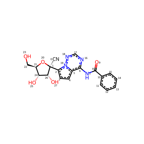 N#C[C@@]1(c2ccc3c(NC(=O)c4ccccc4)ncnn23)O[C@H](CO)[C@@H](O)[C@H]1O